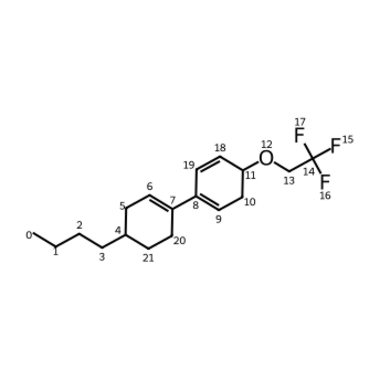 CCCCC1CC=C(C2=CCC(OCC(F)(F)F)C=C2)CC1